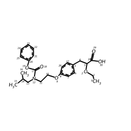 CCOC(Cc1ccc(OCCN(CC(C)C)C(=O)Oc2ccccc2)cc1)C(=O)O